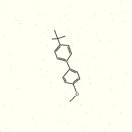 COc1[c]cc(-c2ccc(C(C)(C)C)cc2)cc1